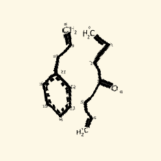 C=CCC(=O)CC=C.C=CCc1ccccc1